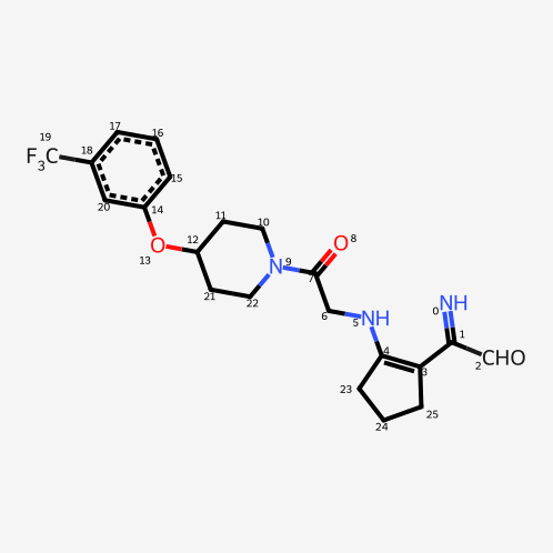 N=C(C=O)C1=C(NCC(=O)N2CCC(Oc3cccc(C(F)(F)F)c3)CC2)CCC1